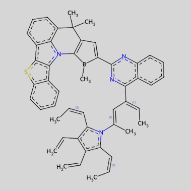 C=Cc1c(C=C)c(/C=C\C)n(/C(C)=C/C(=C\C)c2nc(C3=CC4=C(B3C)n3c5c(cccc5c5sc6ccccc6c53)C4(C)C)nc3ccccc23)c1/C=C\C